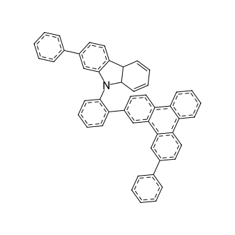 C1=CC2c3ccc(-c4ccccc4)cc3N(c3ccccc3-c3ccc4c5ccccc5c5ccc(-c6ccccc6)cc5c4c3)C2C=C1